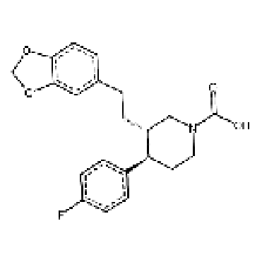 O=C(O)N1CC[C@@H](c2ccc(F)cc2)[C@H](CCc2ccc3c(c2)OCO3)C1